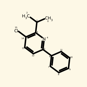 CC(C)c1nc(-c2ccccc2)ccc1Cl